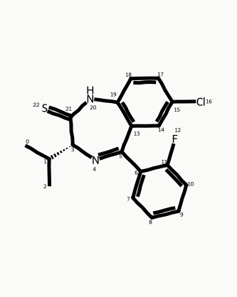 CC(C)[C@H]1N=C(c2ccccc2F)c2cc(Cl)ccc2NC1=S